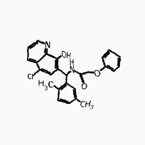 Cc1ccc(C)c(C(NC(=O)COc2ccccc2)c2cc(Cl)c3cccnc3c2O)c1